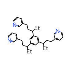 CCC(CCc1cccnc1)c1cc(C(CC)CCc2cccnc2)cc(C(CC)CCc2cccnc2)c1